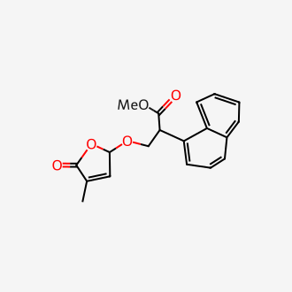 COC(=O)C(COC1C=C(C)C(=O)O1)c1cccc2ccccc12